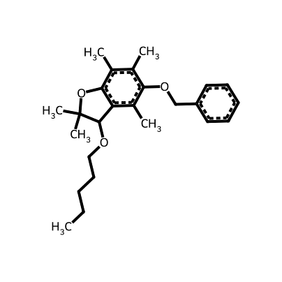 CCCCCOC1c2c(C)c(OCc3ccccc3)c(C)c(C)c2OC1(C)C